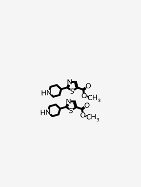 COC(=O)c1cnc(C2CCNCC2)s1.COC(=O)c1cnc(C2CCNCC2)s1